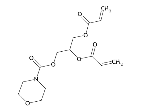 C=CC(=O)OCC(COC(=O)N1CCOCC1)OC(=O)C=C